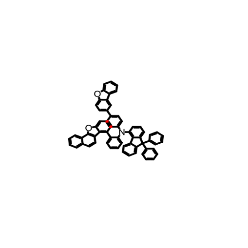 c1ccc(C2(c3ccccc3)c3ccccc3-c3c(N(c4ccc(-c5ccc6oc7ccccc7c6c5)cc4)c4ccccc4-c4cccc5oc6c7ccccc7ccc6c45)cccc32)cc1